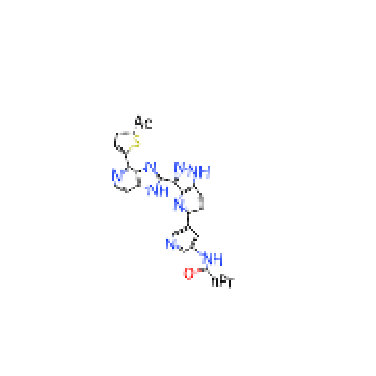 CCCC(=O)Nc1cncc(-c2ccc3[nH]nc(-c4nc5c(-c6ccc(C(C)=O)s6)nccc5[nH]4)c3n2)c1